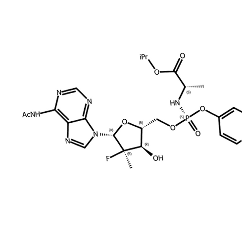 CC(=O)Nc1ncnc2c1ncn2[C@@H]1O[C@H](CO[P@@](=O)(N[C@@H](C)C(=O)OC(C)C)Oc2ccccc2)[C@@H](O)[C@@]1(C)F